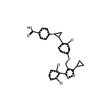 O=C(O)c1ccc([C@H]2CC2c2ccc(OCc3c(-c4c(Cl)cccc4Cl)noc3C3CC3)cc2Cl)cc1